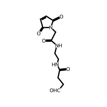 O=CCCC(=O)NCCNC(=O)CN1C(=O)C=CC1=O